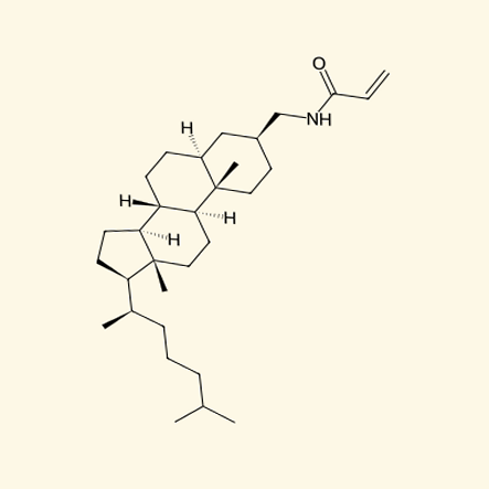 C=CC(=O)NC[C@H]1CC[C@@]2(C)[C@@H](CC[C@@H]3[C@@H]2CC[C@]2(C)[C@@H]([C@H](C)CCCC(C)C)CC[C@@H]32)C1